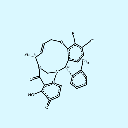 CC[C@@H]1/C=C/COc2c(ccc(Cl)c2F)[C@H](c2ccccc2C)N2CN1C(=O)c1c(O)c(=O)ccn12